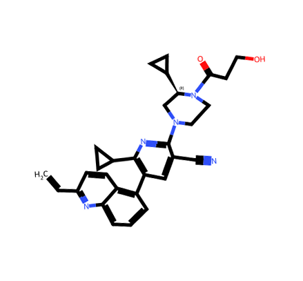 C=Cc1ccc2c(-c3cc(C#N)c(N4CCN(C(=O)CCO)[C@H](C5CC5)C4)nc3C3CC3)cccc2n1